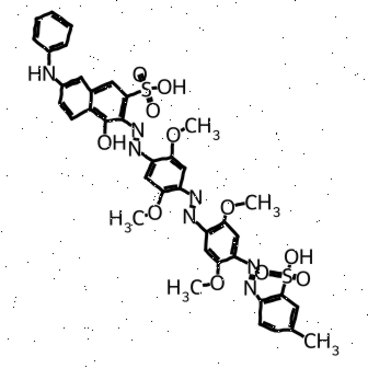 COc1cc(N=Nc2ccc(C)cc2S(=O)(=O)O)c(OC)cc1N=Nc1cc(OC)c(N=Nc2c(S(=O)(=O)O)cc3cc(Nc4ccccc4)ccc3c2O)cc1OC